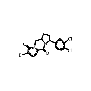 O=C1c2ccc(Br)c(=O)n2CC2CCC(c3ccc(Cl)c(Cl)c3)N12